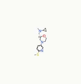 CSc1ccc(N2CCO[C@@H](CN(C)C3CC3)C2)cn1